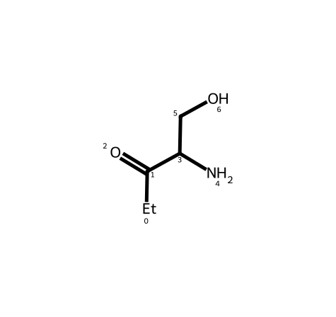 CCC(=O)C(N)CO